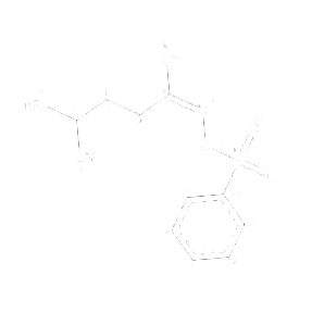 CCCC(C#N)CCC(C)=NOS(=O)(=O)c1ccccc1